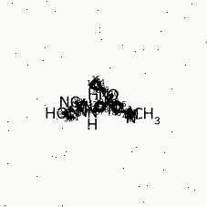 Cn1cc(-c2ccc(N(C(=O)NCc3ccccc3)C3CCC(Nc4ncc(C#N)c(N5CCC(O)C5)n4)CC3)nc2)cn1